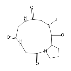 O=C1CNC(=O)CN(I)C(=O)C2CCCN2C(=O)CN1